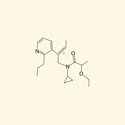 C/C=C(/CN(C(=O)C(C)OCC)C1CC1)c1cccnc1CCC